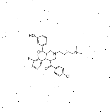 Cc1c(F)cccc1C1C(C(=O)c2ccc(Cl)cc2)CN(CCCCN(C)C)CC1C(=O)c1cccc(O)c1